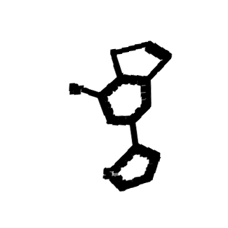 Brc1cc(-c2cccs2)cc2c1CC=C2